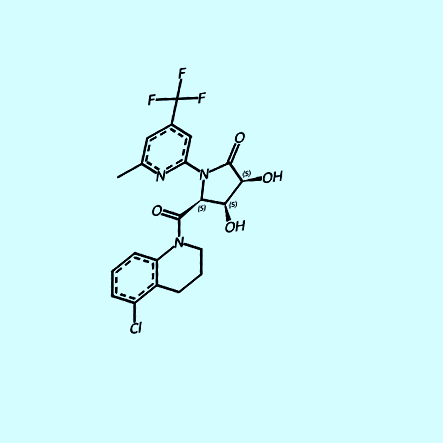 Cc1cc(C(F)(F)F)cc(N2C(=O)[C@@H](O)[C@@H](O)[C@H]2C(=O)N2CCCc3c(Cl)cccc32)n1